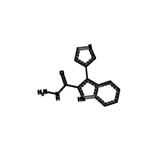 NNC(=O)c1[nH]c2ccccc2c1-c1ccsc1